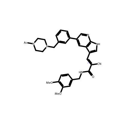 COc1ccc(CNC(=O)/C(C#N)=C/c2c[nH]c3ncc(-c4cccc(CN5CCN(C(C)=O)CC5)c4)cc23)cc1OC